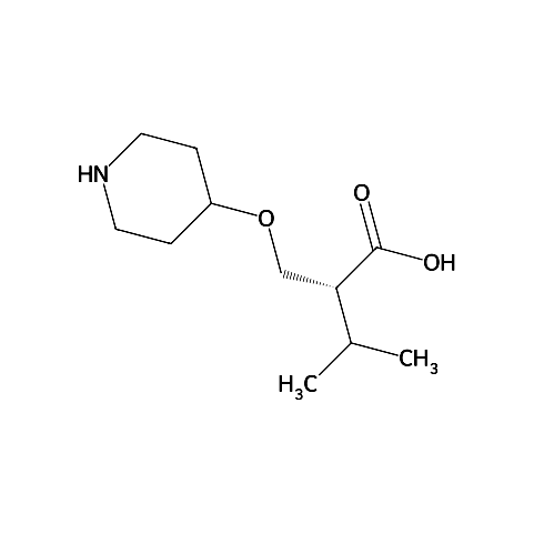 CC(C)[C@H](COC1CCNCC1)C(=O)O